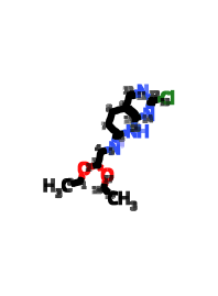 CCOC(C/N=C1\CCc2cnc(Cl)nc2N1)OCC